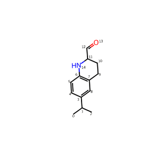 CC(C)c1ccc2c(c1)CCC(C=O)N2